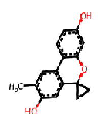 Cc1cc2c(cc1O)C1(CC1)Oc1cc(O)ccc1-2